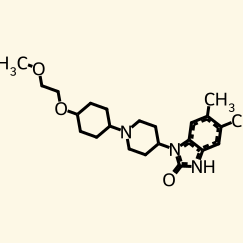 COCCOC1CCC(N2CCC(n3c(=O)[nH]c4cc(Cl)c(C)cc43)CC2)CC1